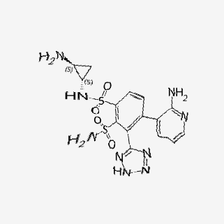 Nc1ncccc1-c1ccc(S(=O)(=O)N[C@H]2C[C@@H]2N)c(S(N)(=O)=O)c1-c1nn[nH]n1